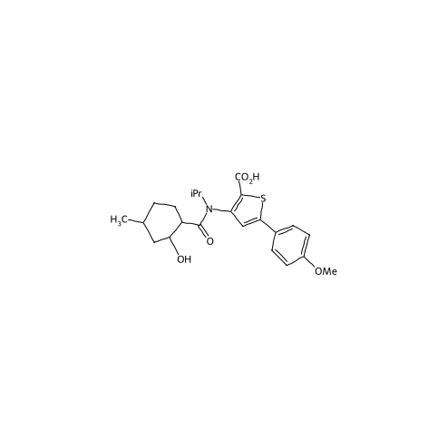 COc1ccc(-c2cc(N(C(=O)C3CCC(C)CC3O)C(C)C)c(C(=O)O)s2)cc1